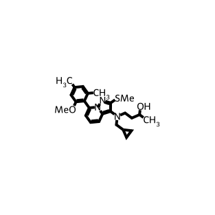 COc1cc(C)cc(C)c1-c1cccc2c(N(CCC(C)O)CC3CC3)c(SC)nn12